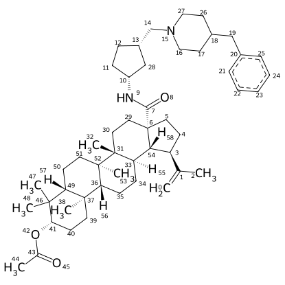 C=C(C)[C@@H]1CC[C@]2(C(=O)N[C@@H]3CC[C@H](CN4CCC(Cc5ccccc5)CC4)C3)CC[C@]3(C)[C@H](CC[C@@H]4[C@@]5(C)CC[C@H](OC(C)=O)C(C)(C)[C@@H]5CC[C@]43C)[C@@H]12